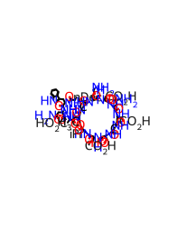 CCCCCCCCCCCC(=O)NC(Cc1c[nH]c2ccccc12)C(=O)NC(CC(N)=O)C(=O)NC(CC(=O)O)C(=O)NC1C(=O)NCC(=O)NC(CCCN)C(=O)NC(CC(=O)O)C(=O)NC(CC(N)=O)C(=O)NC(CC(=O)O)C(=O)NCC(=O)NC(CO)C(=O)NC(CCC(=O)O)C(=O)NC(C(C)C)C(=O)OC1C